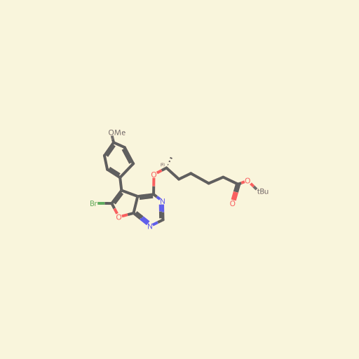 COc1ccc(-c2c(Br)oc3ncnc(O[C@H](C)CCCCC(=O)OC(C)(C)C)c23)cc1